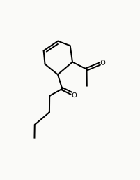 CCCCC(=O)C1CC=CCC1C(C)=O